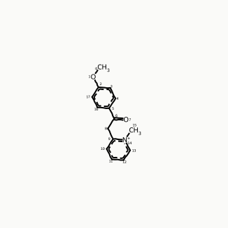 COc1ccc(C(=O)Cc2cccc[n+]2C)cc1